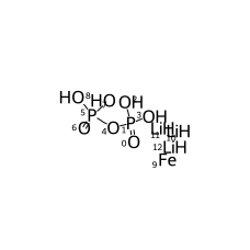 O=P(O)(O)OP(=O)(O)O.[Fe].[LiH].[LiH].[LiH]